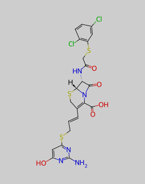 Nc1nc(O)cc(SC/C=C/C2=C(C(=O)O)N3C(=O)[C@@H](NC(=O)CSc4cc(Cl)ccc4Cl)[C@H]3SC2)n1